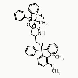 COc1cccc(C(OCC2CC(O[Si](c3ccccc3)(c3ccccc3)C(C)(C)C)CN2)(c2ccccc2)c2ccccc2)c1OC